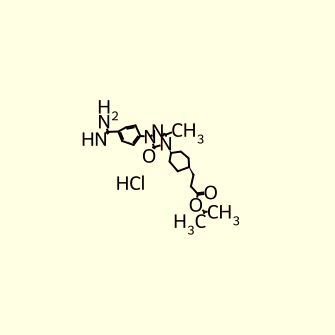 Cc1nn(-c2ccc(C(=N)N)cc2)c(=O)n1[C@H]1CC[C@H](CCC(=O)OC(C)C)CC1.Cl